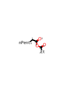 CCCCCCC(=O)OC(=O)CC